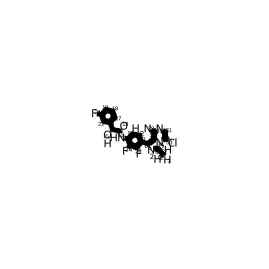 [2H]C([2H])([2H])c1nc(-c2ccc(NC(=O)[C@H](O)c3cccc(F)c3)c(F)c2F)c2c(N)ncc(Cl)n12